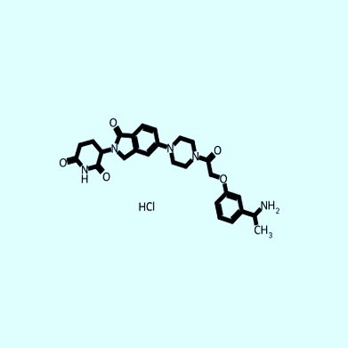 CC(N)c1cccc(OCC(=O)N2CCN(c3ccc4c(c3)CN(C3CCC(=O)NC3=O)C4=O)CC2)c1.Cl